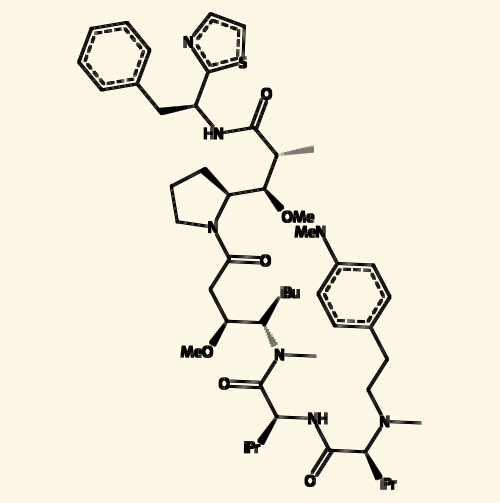 CC[C@H](C)[C@@H]([C@H](CC(=O)N1CCC[C@H]1[C@H](OC)[C@@H](C)C(=O)N[C@@H](Cc1ccccc1)c1nccs1)OC)N(C)C(=O)[C@@H](NC(=O)[C@H](C(C)C)N(C)CCc1ccc(NC)cc1)C(C)C